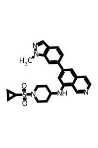 Cn1ncc2ccc(-c3cc(NC4CCN(S(=O)(=O)C5CC5)CC4)c4cnccc4c3)cc21